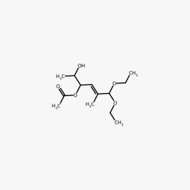 CCOC(OCC)C(C)=CC(OC(C)=O)C(C)O